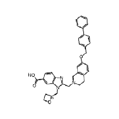 O=C(O)c1ccc2nc(CN3CCc4ccc(OCc5ccc(-c6ccccc6)cc5)cc4C3)n(C[C@@H]3CCO3)c2c1